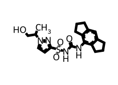 CC(CO)n1ccc(S(=O)(=O)NC(=O)Nc2c3c(cc4c2CCC4)CCC3)n1